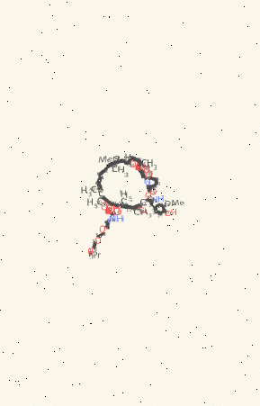 CCCOCCOCCOCCNC(=O)O[C@@H]1/C(C)=C/[C@@H](C)C(=O)C[C@@H]([C@H](N)C[C@@H]2CC[C@@H](O)[C@H](OC)C2)OC(=O)[C@@H]2CCCCN2C(=O)C(=O)[C@]2(O)O[C@@H](CC[C@H]2C)C[C@H](OC)/C(C)=C/C=C/C=C/[C@@H](C)C[C@@H](C)C(=O)[C@@H]1O